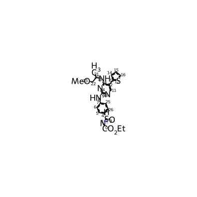 CCOC(=O)/N=[SH](=O)/c1ccc(Nc2ncc(-c3cccs3)c(NC(C)COC)n2)cc1